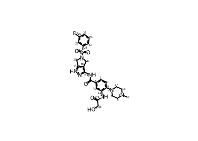 CN1CCN(c2ccc(C(=O)Nc3n[nH]c4c3CN(S(=O)(=O)c3cccc(F)c3)C4)cc2NC(=O)CO)CC1